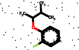 CC(C(Oc1ccccc1F)C(F)(F)F)C(F)(F)F